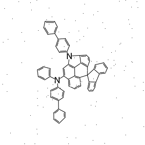 c1ccc(-c2ccc(N(c3ccccc3)c3cc4c5c6c(cccc36)C3(c6ccccc6-c6ccccc63)c3cccc(c35)n4-c3ccc(-c4ccccc4)cc3)cc2)cc1